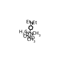 CCN(CC)c1ccc(C2N(C)C(=O)N(C)C(=O)N2C)cc1